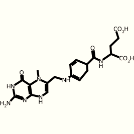 CN1C(CNC2=CCC(C(=O)NC(CCC(=O)O)C(=O)O)C=C2)=CNc2nc(N)[nH]c(=O)c21